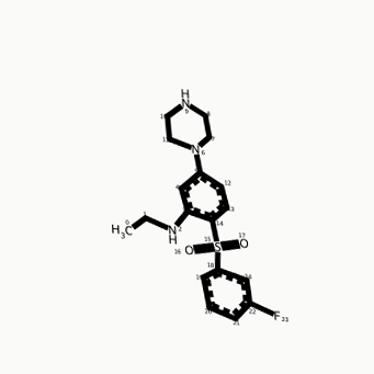 CCNc1cc(N2CCNCC2)ccc1S(=O)(=O)c1cccc(F)c1